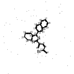 C=C(Br)/C=C\C(=C)c1nc2c(c(-c3ccc4ccccc4c3)n1)C=CCC2